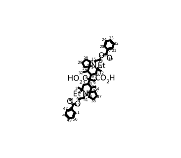 CCC1(C)CC(C(CC(=O)O)(C(=O)O)C2CC(C)(CC)N(CCOC(=O)c3ccccc3)C3(CCCC3)C2C)C(C)C2(CCCC2)N1CCOC(=O)c1ccccc1